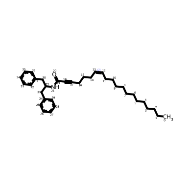 CCCCCCCCCCCC/C=C\CCCC#CC(=O)NC(Cc1ccccc1)Cc1ccccc1